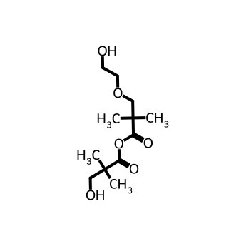 CC(C)(CO)C(=O)OC(=O)C(C)(C)COCCO